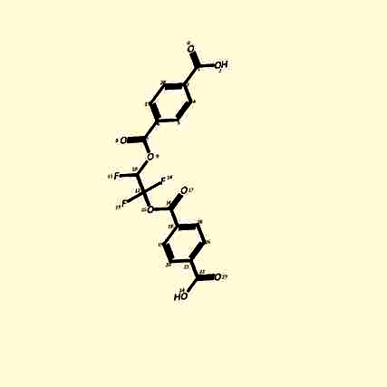 O=C(O)c1ccc(C(=O)OC(F)C(F)(F)OC(=O)c2ccc(C(=O)O)cc2)cc1